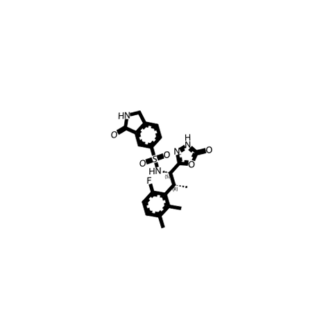 Cc1ccc(F)c([C@@H](C)[C@H](NS(=O)(=O)c2ccc3c(c2)C(=O)NC3)c2n[nH]c(=O)o2)c1C